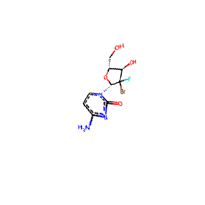 Nc1ccn([C@@H]2O[C@H](CO)[C@@H](O)C2(F)Br)c(=O)n1